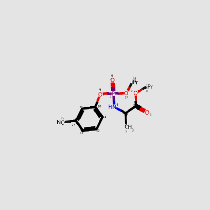 CC(C)OC(=O)C(C)NP(=O)(Oc1cccc(C#N)c1)OC(C)C